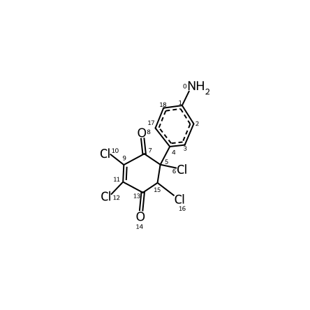 Nc1ccc(C2(Cl)C(=O)C(Cl)=C(Cl)C(=O)C2Cl)cc1